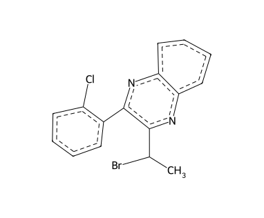 CC(Br)c1nc2ccccc2nc1-c1ccccc1Cl